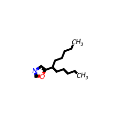 CCCCCC(CCCCC)c1cnco1